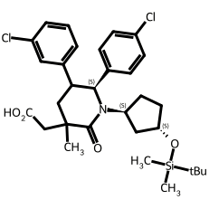 CC1(CC(=O)O)CC(c2cccc(Cl)c2)[C@@H](c2ccc(Cl)cc2)N([C@H]2CC[C@H](O[Si](C)(C)C(C)(C)C)C2)C1=O